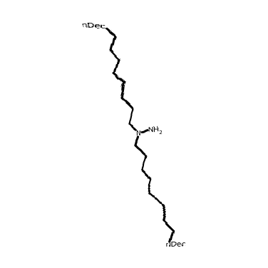 CCCCCCCCCCCCCCCCCCN(N)CCCCCCCCCCCCCCCCCC